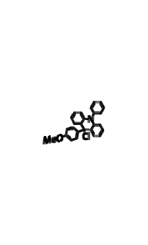 COc1ccc(C2(Cl)c3ccccc3N(c3ccccc3)c3ccccc32)cc1